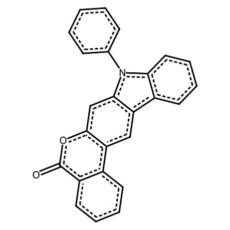 O=c1oc2cc3c(cc2c2ccccc12)c1ccccc1n3-c1ccccc1